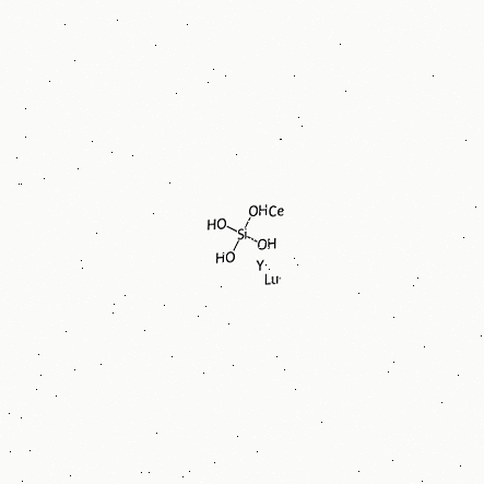 O[Si](O)(O)O.[Ce].[Lu].[Y]